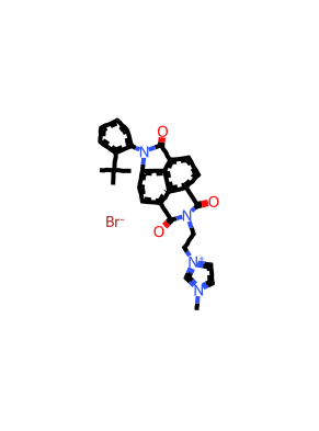 Cn1cc[n+](CCN2C(=O)c3ccc4c5c(ccc(c35)C2=O)N(c2ccccc2C(C)(C)C)C4=O)c1.[Br-]